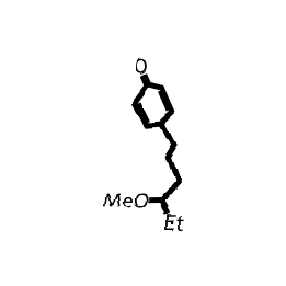 CCC(CCCC1C=CC(=O)C=C1)OC